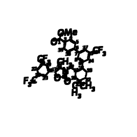 COC(=O)c1ccc(-c2cc(C3=C(CN4C(=O)O[C@H](c5cc(C(F)(F)F)cc(C(F)(F)F)c5)[C@@H]4C)CC(C)(C)CC3)cc(C(F)(F)F)c2)cc1